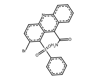 NC(=O)c1c2ccccc2nc2ccc(Br)c(S(=O)(=O)c3ccccc3)c12